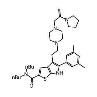 C=C(CN1CCN(CCc2c(-c3cc(C)cc(C)c3)[nH]c3sc(C(=O)N(CCCC)CCCC)cc23)CC1)N1CCCC1